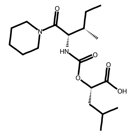 CC[C@H](C)[C@H](NC(=O)O[C@@H](CC(C)C)C(=O)O)C(=O)N1CCCCC1